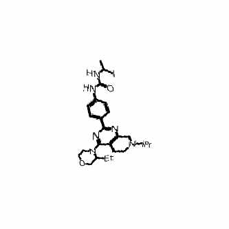 CCC1COCCN1c1nc(-c2ccc(NC(=O)NC(C)I)cc2)nc2c1CCN(C(C)C)C2